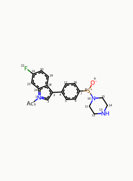 CC(=O)n1cc(-c2ccc([S+]([O-])N3CCNCC3)cc2)c2ccc(F)cc21